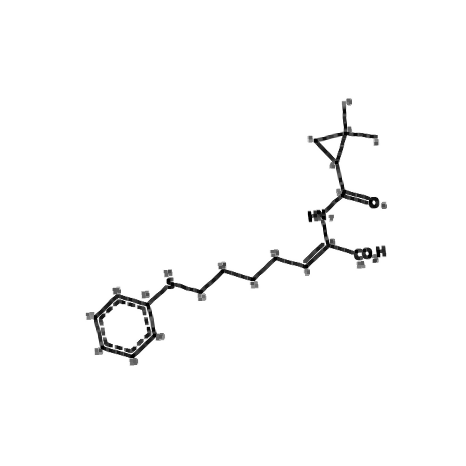 CC1(C)CC1C(=O)N/C(=C\CCCCSc1ccccc1)C(=O)O